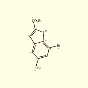 CCOC(=O)c1cc2cc(C(C)(C)C)cc(Br)c2s1